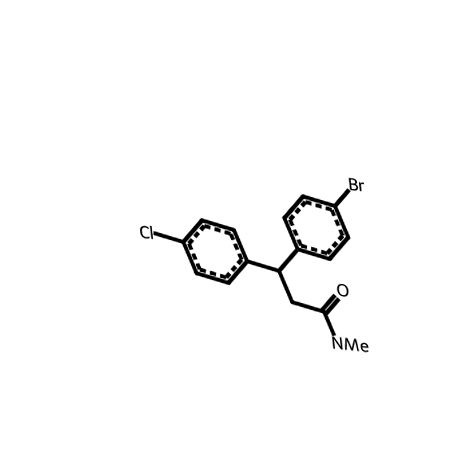 CNC(=O)CC(c1ccc(Cl)cc1)c1ccc(Br)cc1